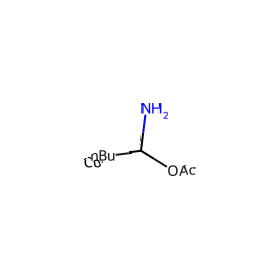 CCCCC(N)OC(C)=O.[Co]